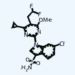 COc1nc(-n2cc(S(N)(=O)=O)c3ccc(Cl)cc32)nc(C2CC2)c1CC(F)F